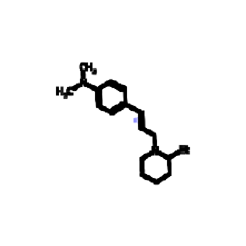 CCC1CCCCN1C/C=C/c1ccc(N(C)C)cc1